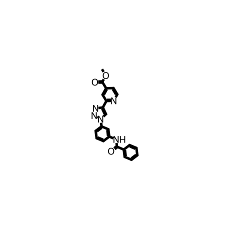 COC(=O)c1ccnc(-c2cn(-c3cccc(NC(=O)c4ccccc4)c3)nn2)c1